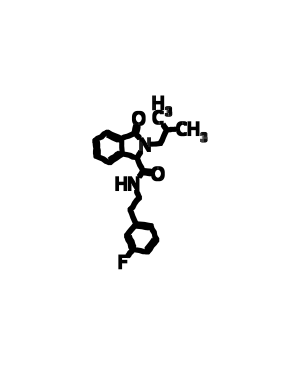 CC(C)CN1C(=O)c2ccccc2C1C(=O)NCCc1cccc(F)c1